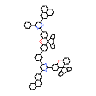 C1=Cc2cc(-c3cc(-c4ccccc4)nc(-c4ccc5c(c4)Oc4cc(-c6cccc(-c7cc(-c8ccc9c(ccc%10ccccc%109)c8)nc(-c8ccc9c(c8)Oc8ccccc8C98c9ccccc9-c9ccccc98)n7)c6)ccc4C54c5ccccc5-c5ccccc54)n3)cc3cccc(c23)C1